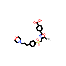 Cc1oc(-c2ccc(C(=O)O)cc2)nc1CS(=O)(=O)c1ccc(CCCN2CCOCC2)cc1